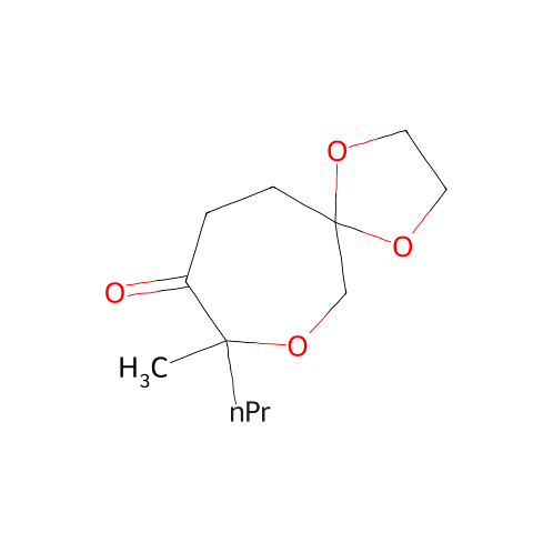 CCCC1(C)OCC2(CCC1=O)OCCO2